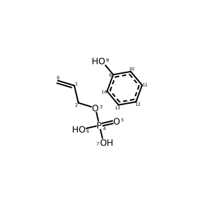 C=CCOP(=O)(O)O.Oc1ccccc1